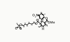 COC(=O)C1=C(C)NC(C)=C(C(=O)OCCCCCCOS(C)(=O)=O)C1c1cccc([N+](=O)[O-])c1